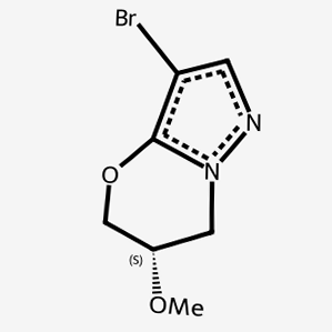 CO[C@@H]1COc2c(Br)cnn2C1